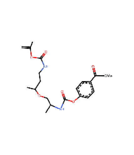 C=C(C)OC(=O)NCCC(C)OCC(C)NC(=O)Oc1ccc(C(=O)OC)cc1